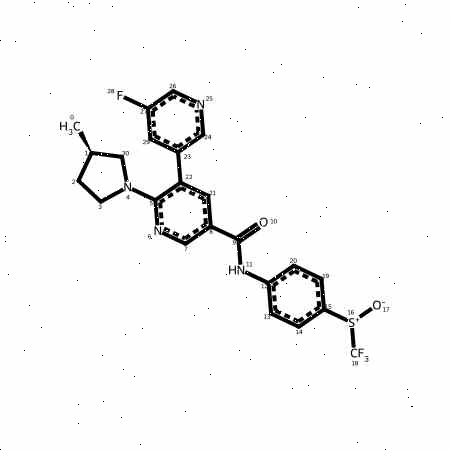 C[C@@H]1CCN(c2ncc(C(=O)Nc3ccc([S+]([O-])C(F)(F)F)cc3)cc2-c2cncc(F)c2)C1